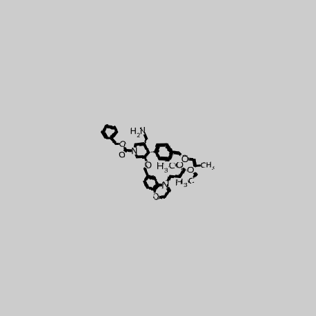 CCOC(C)COCc1ccc([C@H]2[C@H](CN)CN(C(=O)OCc3ccccc3)C[C@@H]2OCc2ccc3c(c2)N(CCCOC)CCO3)cc1